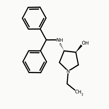 CCN1C[C@H](NC(c2ccccc2)c2ccccc2)[C@@H](O)C1